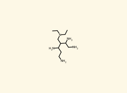 CCN(CC)CC(C(N)CN)C(N)CCN